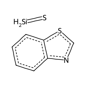 [SiH2]=S.c1ccc2scnc2c1